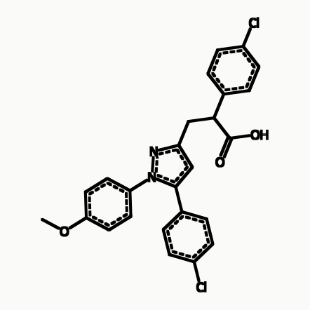 COc1ccc(-n2nc(CC(C(=O)O)c3ccc(Cl)cc3)cc2-c2ccc(Cl)cc2)cc1